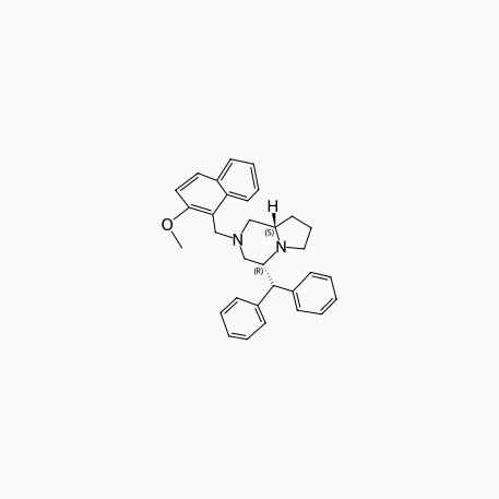 COc1ccc2ccccc2c1CN1C[C@@H]2CCCN2[C@H](C(c2ccccc2)c2ccccc2)C1